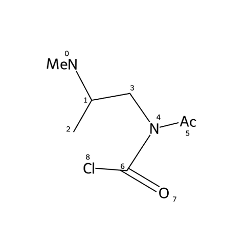 CNC(C)CN(C(C)=O)C(=O)Cl